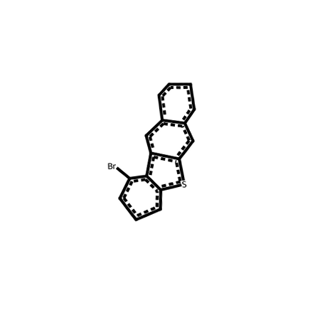 Brc1cccc2sc3cc4ccccc4cc3c12